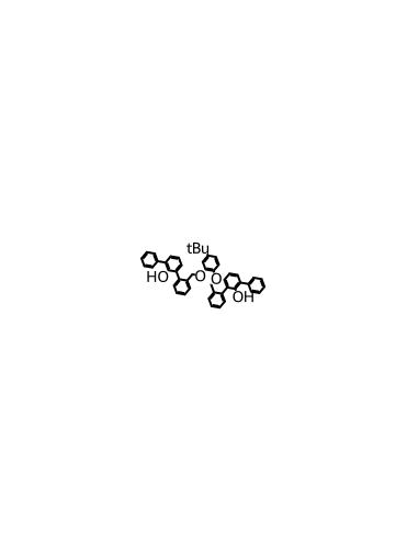 CC(C)(C)c1ccc(OCc2ccccc2-c2cccc(-c3ccccc3)c2O)c(OCc2ccccc2-c2cccc(-c3ccccc3)c2O)c1